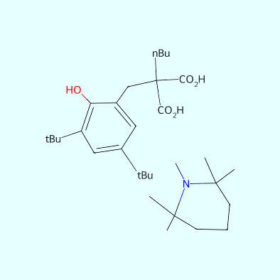 CCCCC(Cc1cc(C(C)(C)C)cc(C(C)(C)C)c1O)(C(=O)O)C(=O)O.CN1C(C)(C)CCCC1(C)C